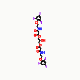 O=C(CC(=O)OCC(O)COC(=O)CC(=O)NCCOc1c(I)cc(I)cc1I)NCCOc1c(I)cc(I)cc1I